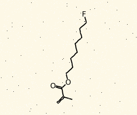 C=C(C)C(=O)OCCCCCCCCF